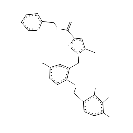 Cc1cc(C(=O)NCc2ccccn2)nn1Cc1cc(Cl)ccc1OCc1ccc(F)c(F)c1F